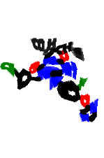 C[C@@H](Cn1c(=O)[nH]/c(=N\c2ccc(Oc3cnccn3)c(F)c2)n(Cc2ccc(Cl)cc2)c1=O)C(=O)O